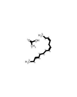 CC(=O)O.CC/C=C\C/C=C\CCC/C=C/CC